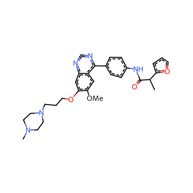 COc1cc2c(-c3ccc(NC(=O)C(C)c4ccco4)cc3)ncnc2cc1OCCCN1CCN(C)CC1